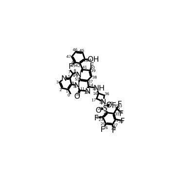 Cc1ccnc(C(C)C)c1-n1c(=O)nc(NC2CN(S(=O)(=O)c3c(F)c(F)c(F)c(F)c3C(F)(F)F)C2)c2cc(F)c(-c3c(O)cccc3F)nc21